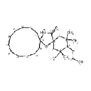 CC1(C)CC2(CC(C)(C)N1CCO)OC1(CCCCCCCCCCC1)NC2=O